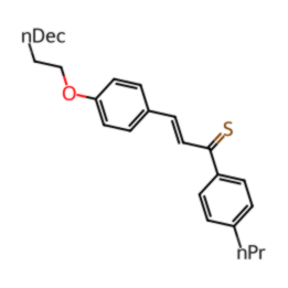 CCCCCCCCCCCCOc1ccc(C=CC(=S)c2ccc(CCC)cc2)cc1